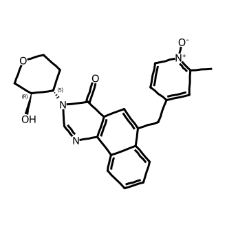 Cc1cc(Cc2cc3c(=O)n([C@H]4CCOC[C@@H]4O)cnc3c3ccccc23)cc[n+]1[O-]